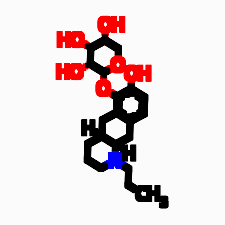 CCCN1CCC[C@@H]2Cc3c(ccc(O)c3O[C@@H]3OC[C@H](O)[C@H](O)[C@H]3O)C[C@H]21